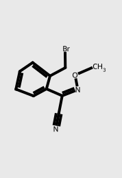 CO/N=C(/C#N)c1ccccc1CBr